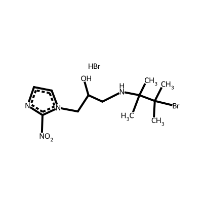 Br.CC(C)(Br)C(C)(C)NCC(O)Cn1ccnc1[N+](=O)[O-]